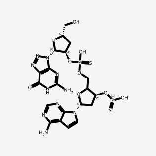 Nc1nc2c(nnn2[C@@H]2O[C@H](CO)C[C@H]2OP(O)(=S)OCC2O[C@@H](n3ccc4c(N)ncnc43)C[C@@H]2O[PH](O)=S)c(=O)[nH]1